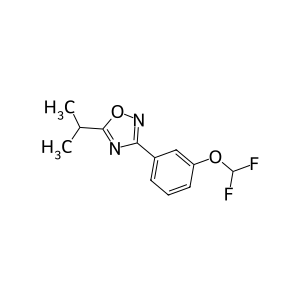 CC(C)c1nc(-c2cccc(OC(F)F)c2)no1